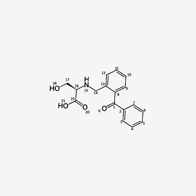 O=C(c1ccccc1)c1ccccc1CN[C@H](CO)C(=O)O